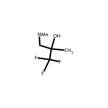 CNCC(C)(O)C(F)(F)F